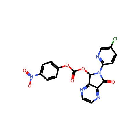 O=C(Oc1ccc([N+](=O)[O-])cc1)OC1c2nccnc2C(=O)N1c1ccc(Cl)cn1